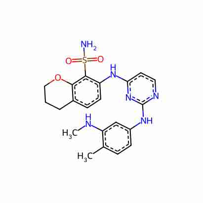 CNc1cc(Nc2nccc(Nc3ccc4c(c3S(N)(=O)=O)OCCC4)n2)ccc1C